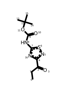 CCC(=O)c1nsc(NC(=O)OC(C)(C)C)n1